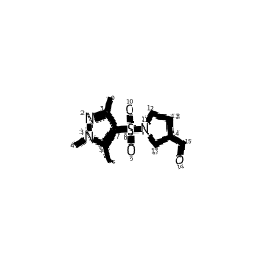 Cc1nn(C)c(C)c1S(=O)(=O)N1CCC(C=O)C1